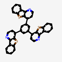 c1ccc2c(c1)sc1c(-c3cc(-c4ccnc5c4sc4ccccc45)cc(-c4ccnc5c4sc4ccccc45)c3)ccnc12